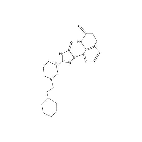 O=C1CCc2cccc(-n3nc([C@H]4CCCN(CCC5CCCCC5)C4)[nH]c3=O)c2N1